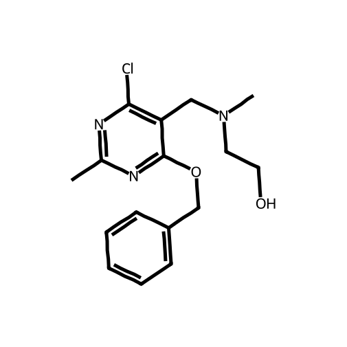 Cc1nc(Cl)c(CN(C)CCO)c(OCc2ccccc2)n1